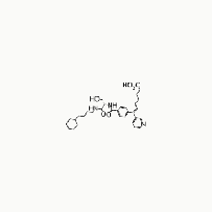 O=C(O)CCCC/C=C(\c1ccc(C(=O)N[C@@H](CO)C(=O)NCCCCC2CCCCC2)cc1)c1cccnc1